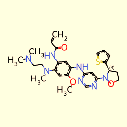 C=CC(=O)Nc1cc(Nc2cc(N3OCC[C@@H]3c3cccs3)ncn2)c(OC)cc1N(C)CCN(C)C